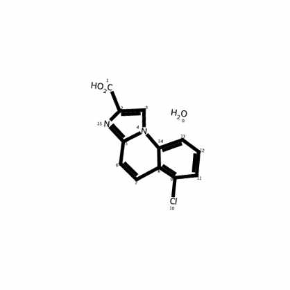 O.O=C(O)c1cn2c(ccc3c(Cl)cccc32)n1